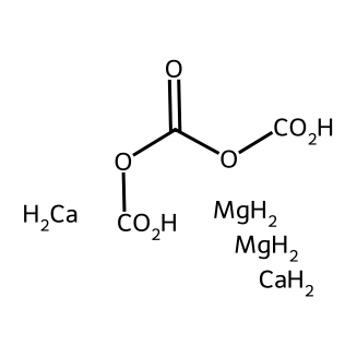 O=C(O)OC(=O)OC(=O)O.[CaH2].[CaH2].[MgH2].[MgH2]